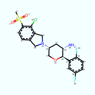 CS(=O)(=O)c1ccc2c(c1Cl)CN([C@H]1CO[C@H](c3cc(F)ccc3F)[C@@H](N)C1)C2